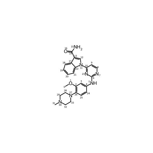 COc1cc(Nc2nccc(-n3cc(C(N)=O)c4ccccc43)n2)ccc1N1CCN(C)CC1